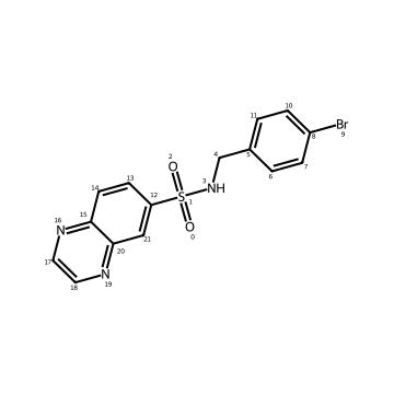 O=S(=O)(NCc1ccc(Br)cc1)c1ccc2nccnc2c1